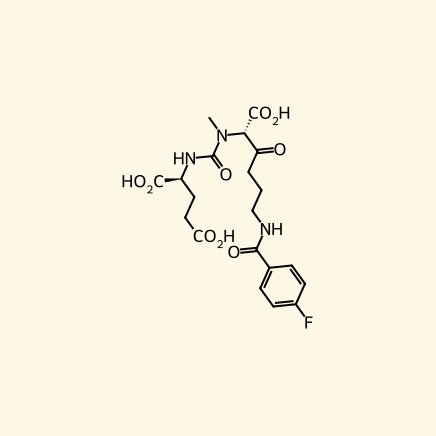 CN(C(=O)N[C@@H](CCC(=O)O)C(=O)O)[C@H](C(=O)O)C(=O)CCCNC(=O)c1ccc(F)cc1